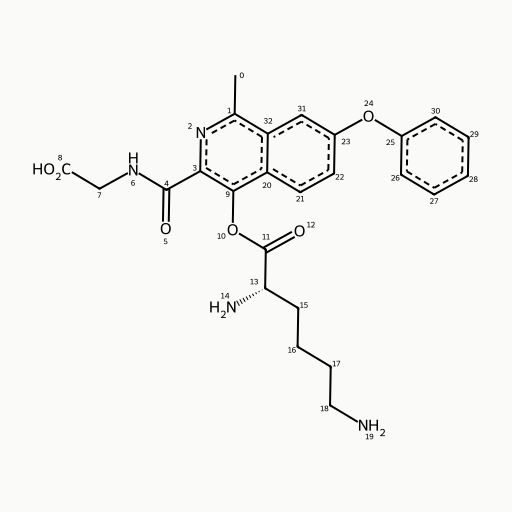 Cc1nc(C(=O)NCC(=O)O)c(OC(=O)[C@@H](N)CCCCN)c2ccc(Oc3ccccc3)cc12